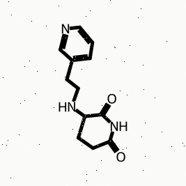 O=C1CCC(NCCc2cccnc2)C(=O)N1